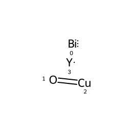 [Bi].[O]=[Cu].[Y]